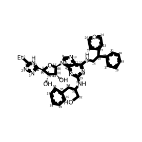 CCc1nnc([C@H]2O[C@@H](n3cnc4c(NCC(c5ccccc5)c5ccccc5)nc(NC(CO)Cc5ccccc5)nc43)[C@H](O)[C@@H]2O)[nH]1